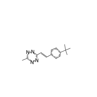 Cc1nnc(/C=C/c2ccc(C(C)(C)C)cc2)nn1